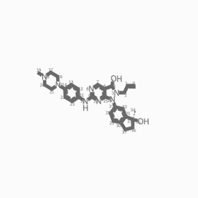 C=CCN1C(O)c2cnc(Nc3ccc(N4CCN(C)CC4)cc3)nc2N1c1ccc2c(c1)[C@@](C)(O)CC2